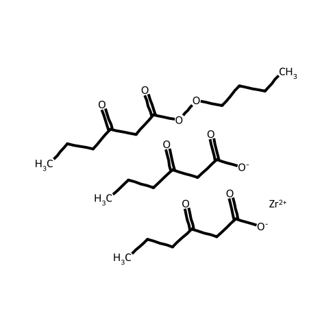 CCCC(=O)CC(=O)[O-].CCCC(=O)CC(=O)[O-].CCCCOOC(=O)CC(=O)CCC.[Zr+2]